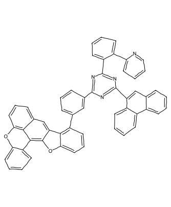 c1ccc(-c2ccccc2-c2nc(-c3cccc(-c4cccc5oc6c7c8c(cccc8cc6c45)Oc4ccccc4-7)c3)nc(-c3cc4ccccc4c4ccccc34)n2)nc1